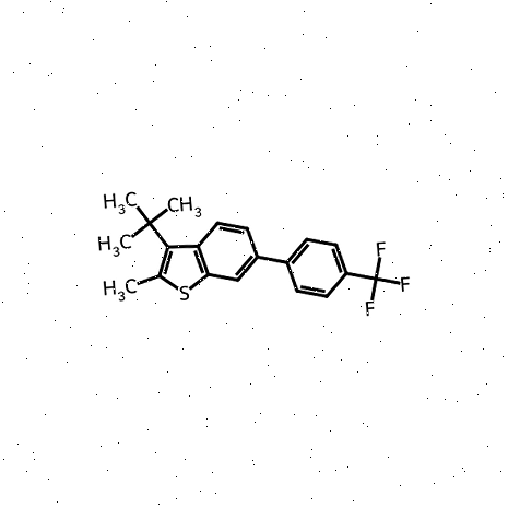 Cc1sc2cc(-c3ccc(C(F)(F)F)cc3)ccc2c1C(C)(C)C